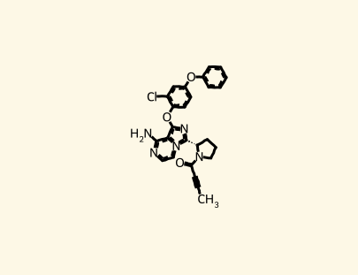 CC#CC(=O)N1CCC[C@H]1c1nc(Oc2ccc(Oc3ccccc3)cc2Cl)c2c(N)nccn12